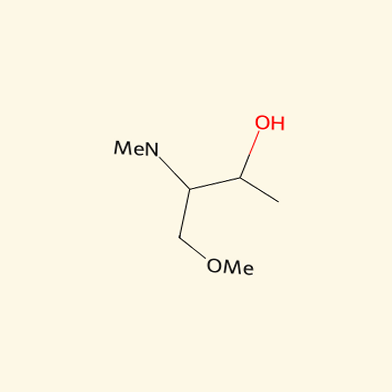 CNC(COC)C(C)O